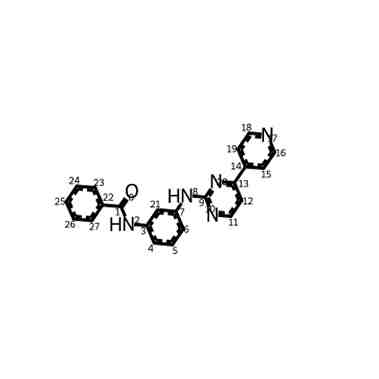 O=C(Nc1cccc(Nc2nccc(-c3ccncc3)n2)c1)c1ccccc1